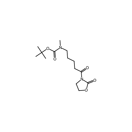 CN(CCCCC(=O)N1CCOC1=O)C(=O)OC(C)(C)C